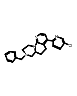 Clc1ccc(-c2ccnc3c2CCC2CN(Cc4ccccc4)CCN32)nc1